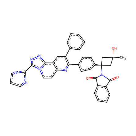 C[C@]1(O)C[C@@](c2ccc(-c3nc4ccn5c(-c6ncccn6)nnc5c4cc3-c3ccccc3)cc2)(N2C(=O)c3ccccc3C2=O)C1